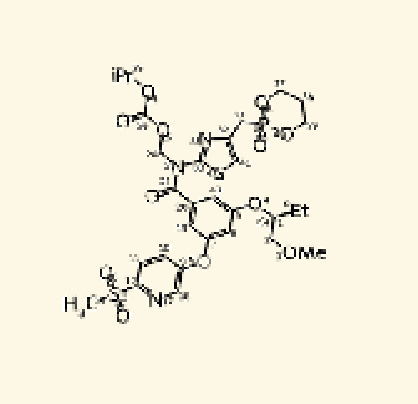 CC[C@@H](COC)Oc1cc(Oc2ccc(S(C)(=O)=O)nc2)cc(C(=O)N(COC(=O)OC(C)C)c2nc(CP3(=O)OCCCO3)cs2)c1